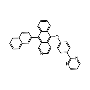 c1cnc(-c2ccc(Oc3c4ccccc4c(-c4ccc5ccccc5c4)c4cnccc34)cc2)nc1